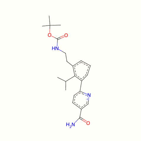 CC(C)c1c(CCNC(=O)OC(C)(C)C)cccc1-c1ccc(C(N)=O)cn1